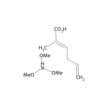 C=CCC=C(C)C(=O)O.CO[SiH](OC)OC